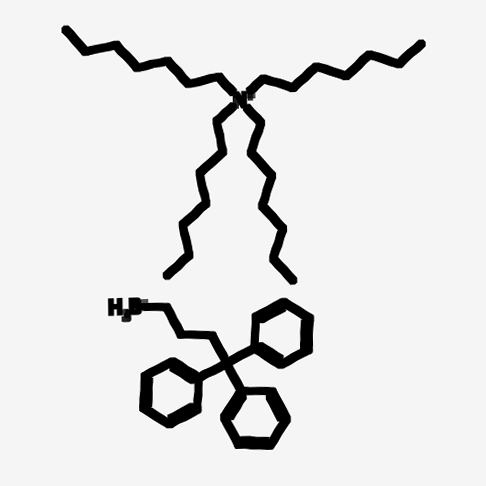 CCCCCCC[N+](CCCCCCC)(CCCCCCC)CCCCCCC.[BH3-]CCCC(c1ccccc1)(c1ccccc1)c1ccccc1